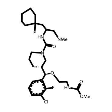 CNCC(CC1(F)CCCCC1)NC(=O)N1CCC[C@@H]([C@@H](OCCNC(=O)OC)c2cccc(Cl)c2F)C1